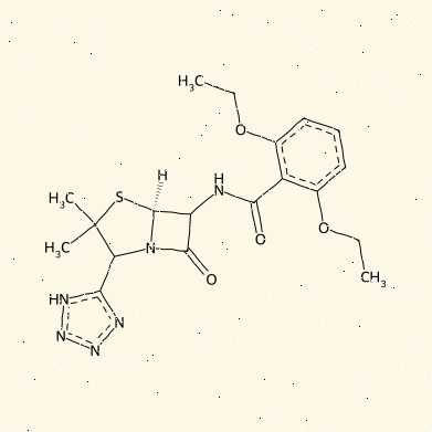 CCOc1cccc(OCC)c1C(=O)NC1C(=O)N2C(c3nnn[nH]3)C(C)(C)S[C@@H]12